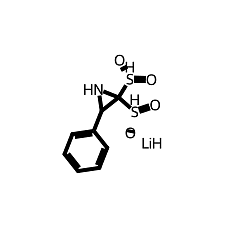 O=[SH](=O)C1([SH](=O)=O)NC1c1ccccc1.[LiH]